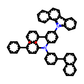 c1ccc(-c2ccc(N(c3cccc(-c4cccc5ccccc45)c3)c3ccc(-n4c5ccccc5c5ccc6ccccc6c54)cc3-c3ccccc3)cc2)cc1